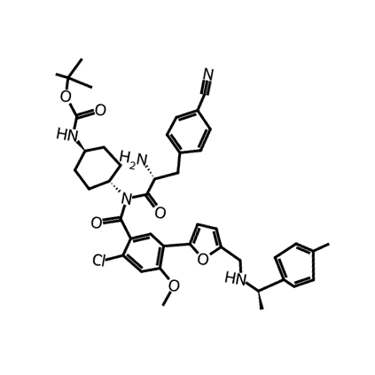 COc1cc(Cl)c(C(=O)N(C(=O)[C@H](N)Cc2ccc(C#N)cc2)[C@H]2CC[C@H](NC(=O)OC(C)(C)C)CC2)cc1-c1ccc(CN[C@H](C)c2ccc(C)cc2)o1